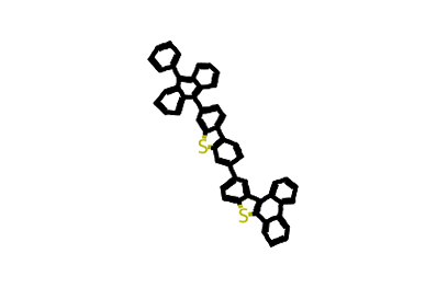 c1ccc(-c2c3ccccc3c(-c3ccc4c(c3)sc3cc(-c5ccc6sc7c8ccccc8c8ccccc8c7c6c5)ccc34)c3ccccc23)cc1